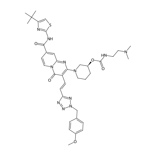 COc1ccc(Cn2nnc(C=Cc3c(N4CCC[C@H](OC(=O)NCCN(C)C)C4)nc4cc(C(=O)Nc5nc(C(C)(C)C)cs5)ccn4c3=O)n2)cc1